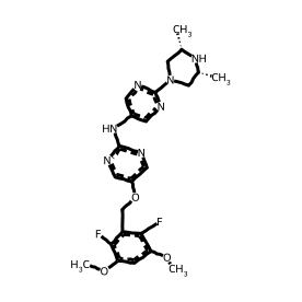 COc1cc(OC)c(F)c(COc2cnc(Nc3cnc(N4C[C@@H](C)N[C@@H](C)C4)nc3)nc2)c1F